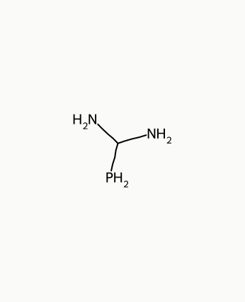 NC(N)P